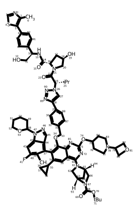 Cc1ncsc1-c1ccc([C@H](CO)NC(=O)[C@@H]2C[C@@H](O)CN2C(=O)[C@H](C(C)C)n2cc(-c3ccc(COc4c(-c5c(C)c(F)cc6c5cnn6C5CCCCO5)c(C5CC5)cc5c(N6C[C@@H]7C[C@H]6CN7C(=O)OC(C)(C)C)nc(OC6CCN(C7COC7)CC6)nc45)cc3)nn2)cc1